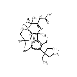 CC[Si](CC)(CC)c1cc(Br)nc([C@@]2(C)N=C(NC(=O)O)C(C)(C)S3(O)NCC(F)(F)C[C@H]23)c1F